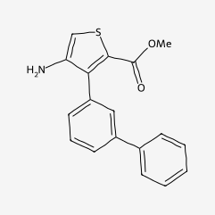 COC(=O)c1scc(N)c1-c1cccc(-c2ccccc2)c1